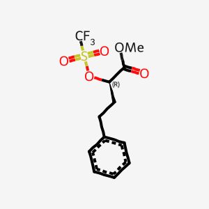 COC(=O)[C@@H](CCc1ccccc1)OS(=O)(=O)C(F)(F)F